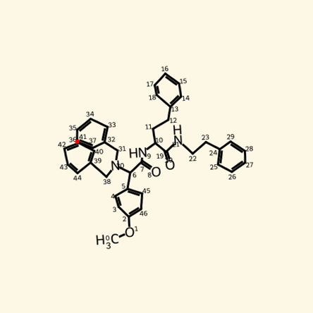 COc1ccc(C(C(=O)NC(CCc2ccccc2)C(=O)NCCc2ccccc2)N(Cc2ccccc2)Cc2ccccc2)cc1